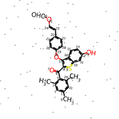 Cc1cc(C)c(C(=O)c2sc3cc(O)ccc3c2Oc2ccc(/C=C/OC=O)cc2)c(C)c1